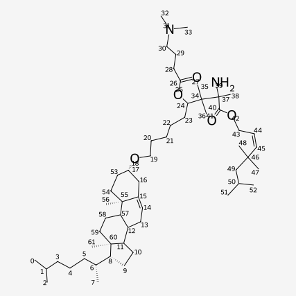 CC(C)CCC[C@@H](C)[C@H]1CCC2C3CC=C4C[C@@H](OCCCCCC(OC(=O)CCCN(C)C)C(C)(C)C(C)(N)C(=O)OC/C=C\C(C)(C)CC(C)C)CC[C@]4(C)C3CC[C@@]21C